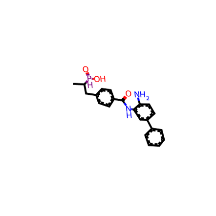 CC(Cc1ccc(C(=O)Nc2cc(-c3ccccc3)ccc2N)cc1)[PH](=O)O